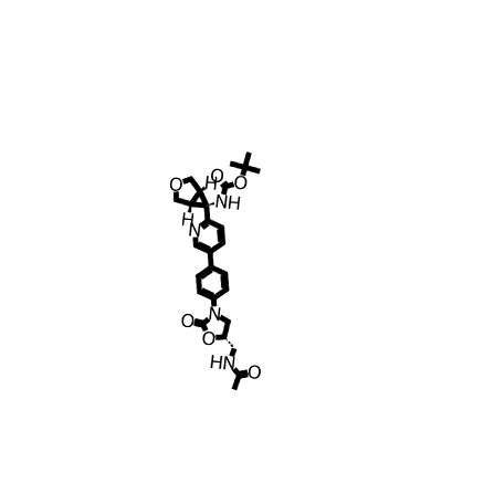 CC(=O)NC[C@H]1CN(c2ccc(-c3ccc([C@@]4(NC(=O)OC(C)(C)C)[C@@H]5COC[C@@H]54)nc3)cc2)C(=O)O1